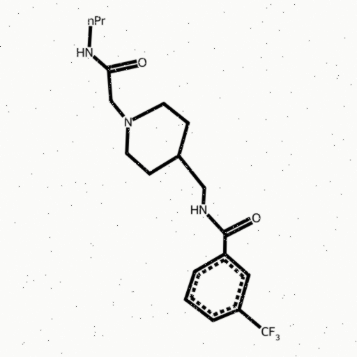 CCCNC(=O)CN1CCC(CNC(=O)c2cccc(C(F)(F)F)c2)CC1